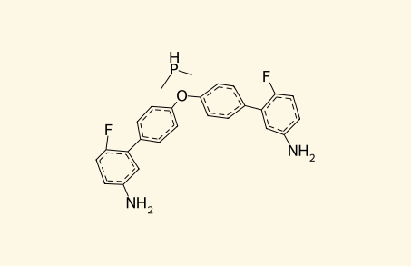 CPC.Nc1ccc(F)c(-c2ccc(Oc3ccc(-c4cc(N)ccc4F)cc3)cc2)c1